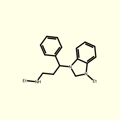 CCNCCC(c1ccccc1)N1[CH]N(CC)c2ccccc21